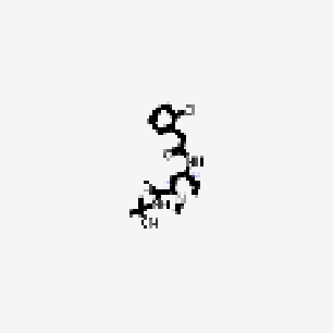 C=N/C(=C\C(=C/C)NC(=O)Cc1ccccc1Cl)C(=O)NC(C)(C)C#N